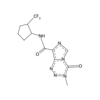 Cn1nnc2c(C(=O)NC3CCCC3C(F)(F)F)ncn2c1=O